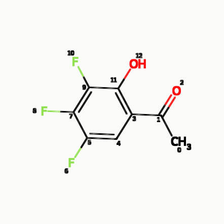 CC(=O)c1cc(F)c(F)c(F)c1O